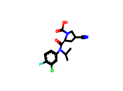 CC(C)N(C(=O)[C@@H]1CC(C#N)CN1C(=O)O)c1ccc(F)c(Cl)c1